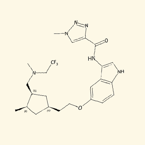 C[C@@H]1C[C@H](CCOc2ccc3[nH]cc(NC(=O)c4cn(C)nn4)c3c2)C[C@@H]1CN(C)CC(F)(F)F